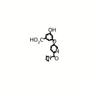 O=C(O)c1cc(O)cc(Oc2ccc(C(=O)N3CCC3)nc2)c1